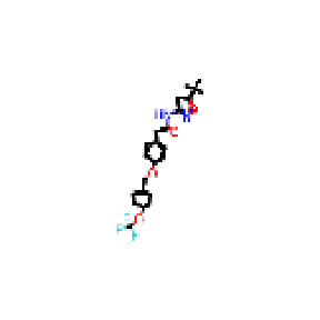 CC(C)(C)c1cc(NC(=O)Cc2ccc(OCc3ccc(OC(F)(F)F)cc3)cc2)no1